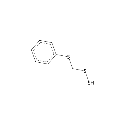 SSCSc1ccccc1